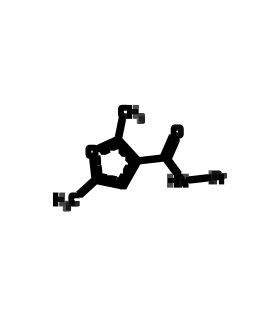 Cc1cc(C(=O)NC(C)C)c(C)o1